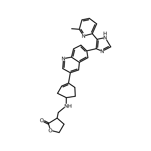 Cc1cccc(-c2[nH]cnc2-c2ccc3ncc(C4=CCC(NCC5CCOC5=O)CC4)cc3c2)n1